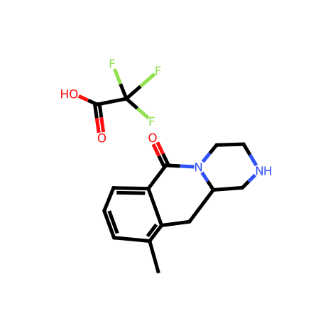 Cc1cccc2c1CC1CNCCN1C2=O.O=C(O)C(F)(F)F